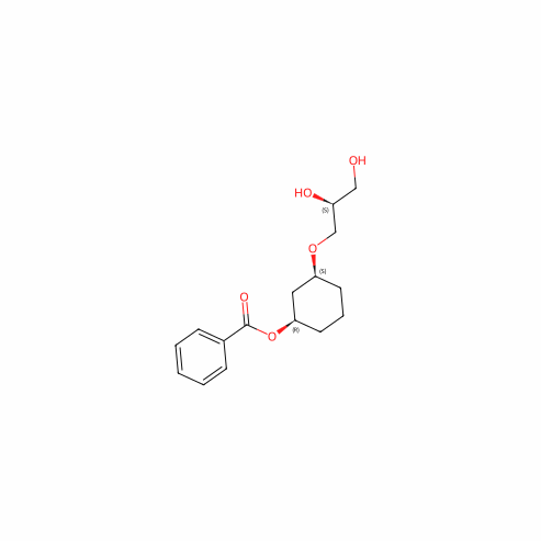 O=C(O[C@@H]1CCC[C@H](OC[C@@H](O)CO)C1)c1ccccc1